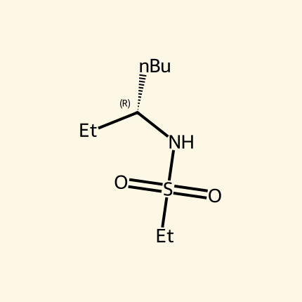 CCCC[C@@H](CC)NS(=O)(=O)CC